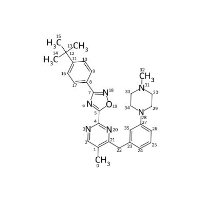 Cc1cnc(-c2nc(-c3ccc(C(C)(C)C)cc3)no2)nc1Cc1cccc(N2CCN(C)CC2)c1